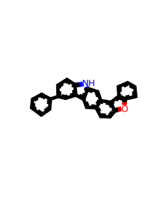 c1ccc(-c2ccc3[nH]c4cc5c(ccc6oc7ccccc7c65)cc4c3c2)cc1